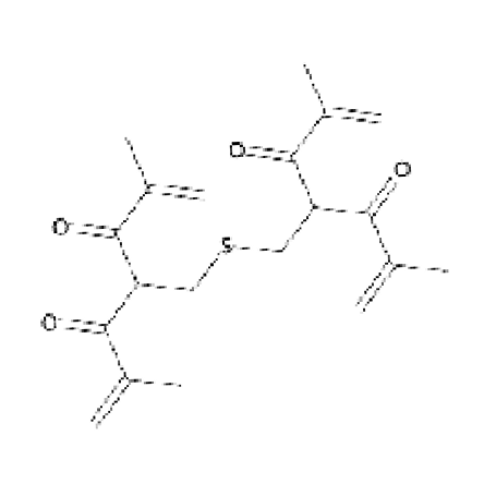 C=C(C)C(=O)C(CSCC(C(=O)C(=C)C)C(=O)C(=C)C)C(=O)C(=C)C